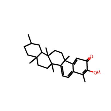 CC1=C(O)C(=O)C=C2C1=CC=C1C2(C)CCC2(C)C3CC(C)CCC3(C)CCC12C